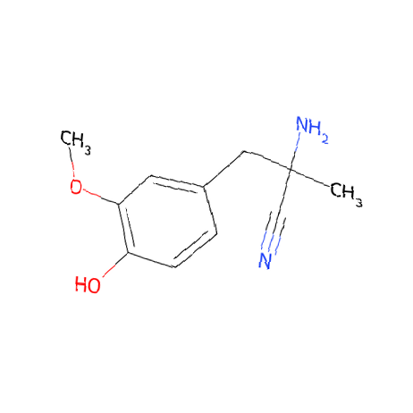 COc1cc(CC(C)(N)C#N)ccc1O